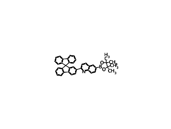 CC1(C)OB(c2ccc3nc(-c4ccc5c(c4)C4(c6ccccc6-c6ccccc64)c4ccccc4-5)ccc3c2)OC1(C)C